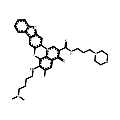 CN(C)CCCCNc1c(F)cc2c(=O)c(C(=O)NCCCN3CCOCC3)cn3c2c1Oc1cc2c(cc1-3)oc1ccccc12